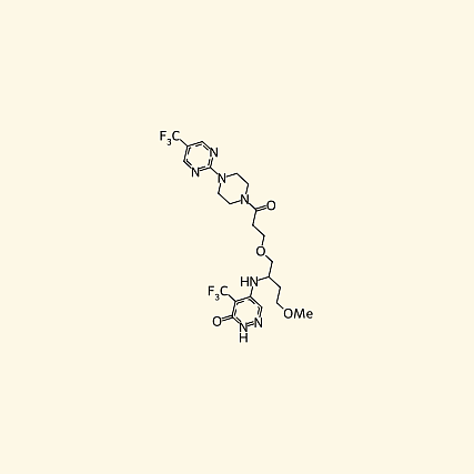 COCCC(COCCC(=O)N1CCN(c2ncc(C(F)(F)F)cn2)CC1)Nc1cn[nH]c(=O)c1C(F)(F)F